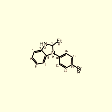 CCC1Nc2ccccc2N1c1ccc(Br)cc1